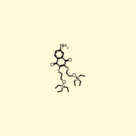 CC[Si](CC)(CC)OCCSC1=C(SCCO[Si](CC)(CC)CC)C(=O)c2cc(N)ccc2C1=O